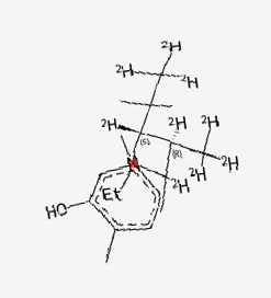 [2H]C([2H])([2H])C(C)(C)[C@@]([2H])(c1ccc(C)c(O)c1)[C@@]([2H])(C([2H])([2H])[2H])C([2H])(C)N(C)CC